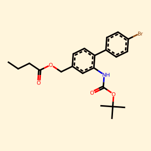 CCCC(=O)OCc1ccc(-c2ccc(Br)cc2)c(NC(=O)OC(C)(C)C)c1